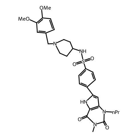 CCCn1c(=O)n(C)c(=O)c2[nH]c(-c3ccc(S(=O)(=O)NC4CCN(Cc5ccc(OC)c(OC)c5)CC4)cc3)cc21